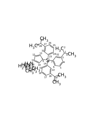 CC(C)c1cccc([Si]([C]2C=CC=C2)(c2cccc(C(C)C)c2)c2cccc(C(C)C)c2)c1.CN.CN.CN